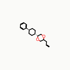 C=CCC1COC([C@H]2CC[C@H](c3ccccc3)CC2)CO1